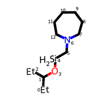 CCC(CC)O[SiH2]CN1CCCCCC1